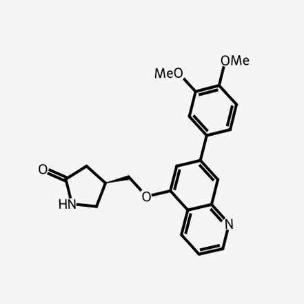 COc1ccc(-c2cc(OC[C@H]3CNC(=O)C3)c3cccnc3c2)cc1OC